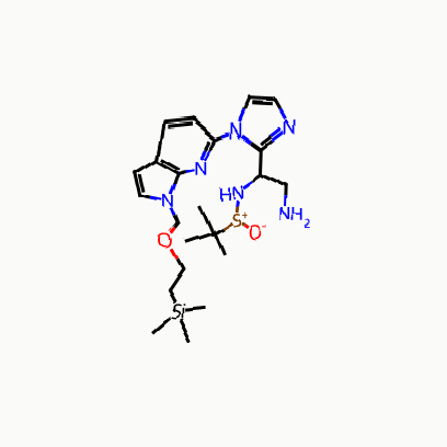 CC(C)(C)[S+]([O-])NC(CN)c1nccn1-c1ccc2ccn(COCC[Si](C)(C)C)c2n1